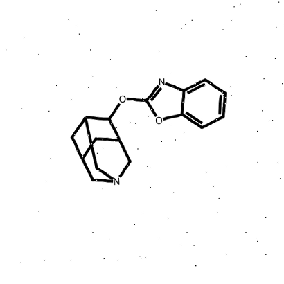 c1ccc2oc(OC3C4CC5CC3CN(C5)C4)nc2c1